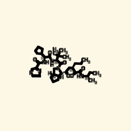 CCC[C@H](CC(=O)[C@@H]1[C@H]2CCC[C@H]2CN1C(=O)[C@@H](NC(=O)[C@@H](NC(=O)c1cnccn1)C1CCCC1)C(C)(C)C)C(=O)C(=O)N[C@@H](C)CC